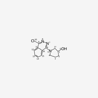 OC1CCCN(c2nnc(Cl)c3ccccc23)C1